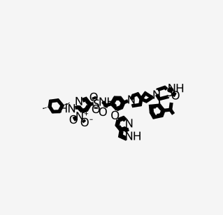 CC(C)c1ccccc1[C@@H]1CS(=N)(=O)CCN1C1CC2(CCN(c3ccc(C(=O)NS(=O)(=O)c4cnc(NC[C@H]5CC[C@@H](C)CC5)c([N+](=O)[O-])c4)c(Oc4cnc5[nH]ccc5c4)c3)CC2)C1